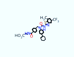 Cc1cc(C(F)(F)F)cc2nc(NC(=O)N(Cc3ccc(C(=O)NCCC(=O)O)cc3)c3ccc(C4=CCCCC4)cc3)sc12